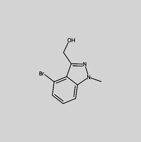 Cn1nc(CO)c2c(Br)cccc21